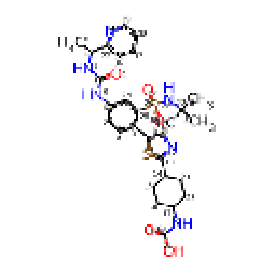 C[C@H](NC(=O)Nc1ccc(-c2cnc(C3CCC(NC(=O)O)CC3)s2)c(S(=O)(=O)NC(C)(C)C)c1)c1ccccn1